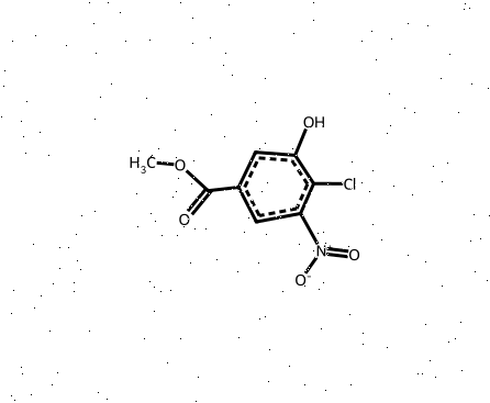 COC(=O)c1cc(O)c(Cl)c([N+](=O)[O-])c1